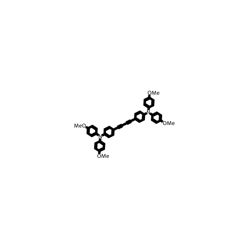 COc1ccc(N(c2ccc(C#CC#Cc3ccc(N(c4ccc(OC)cc4)c4ccc(OC)cc4)cc3)cc2)c2ccc(OC)cc2)cc1